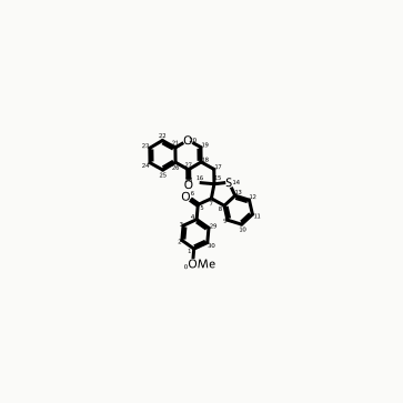 COc1ccc(C(=O)C2c3ccccc3SC2(C)Cc2coc3ccccc3c2=O)cc1